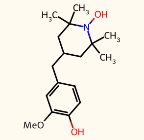 COc1cc(CC2CC(C)(C)N(O)C(C)(C)C2)ccc1O